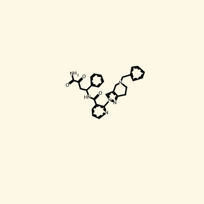 NC(=O)C(=O)CC(NC(=O)c1cccnc1-n1cc2c(n1)CCN(Cc1ccccc1)C2)c1ccccc1